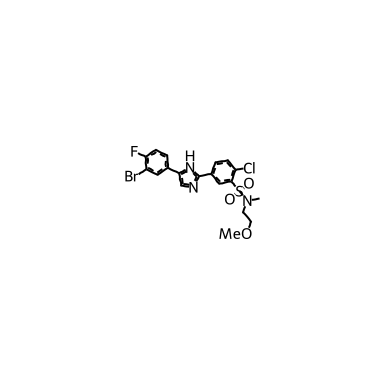 COCCN(C)S(=O)(=O)c1cc(-c2ncc(-c3ccc(F)c(Br)c3)[nH]2)ccc1Cl